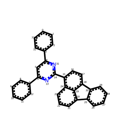 c1ccc(-c2cc(-c3ccccc3)nc(-c3ccc4c5c(cccc35)-c3ccccc3-4)n2)cc1